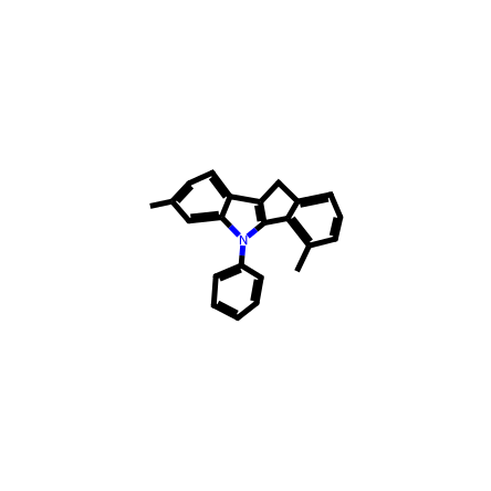 Cc1ccc2c3c(n(-c4ccccc4)c2c1)-c1c(C)cccc1C3